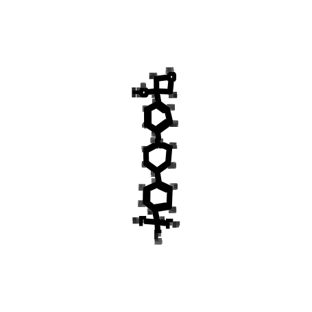 OC1(c2ccc(N3CCC(c4ccc(C(F)(F)F)cc4)CC3)cc2)COC1